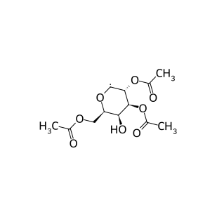 CC(=O)OC[C@H]1O[CH][C@H](OC(C)=O)[C@@H](OC(C)=O)[C@H]1O